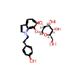 OC[C@H]1O[C@@H](Oc2cccc3ccn(CCc4ccc(O)cc4)c23)[C@H](O)[C@@H](O)[C@@H]1O